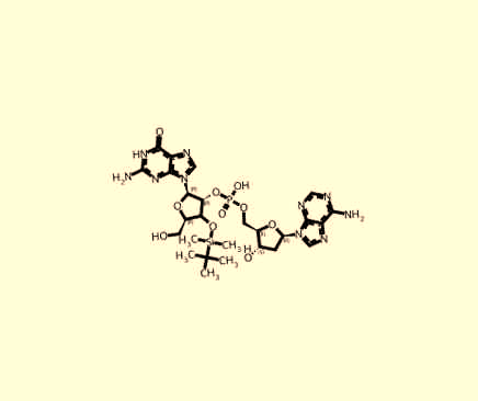 CC(C)(C)[Si](C)(C)OC1[C@@H](OP(=O)(O)OC[C@H]2O[C@@H](n3cnc4c(N)ncnc43)C[C@@H]2O)[C@H](n2cnc3c(=O)[nH]c(N)nc32)O[C@@H]1CO